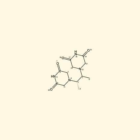 CC([C@H](C)N1CC(=O)NC(=O)C1)N1CC(=O)NC(=O)C1